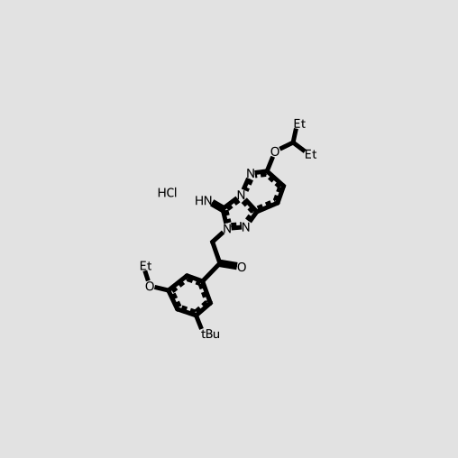 CCOc1cc(C(=O)Cn2nc3ccc(OC(CC)CC)nn3c2=N)cc(C(C)(C)C)c1.Cl